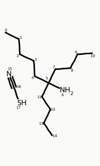 CCCCCC(N)(CCCC)CCCC.N#CS